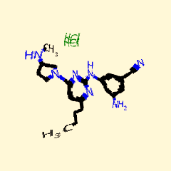 CCCCc1cc(N2CCC(NC)C2)nc(Nc2cc(N)cc(C#N)c2)n1.Cl.Cl